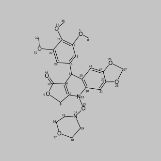 COc1cc(C2C3=C(COC3=O)N(ON3CCOCC3)c3cc4c(cc32)OCO4)cc(OC)c1OC